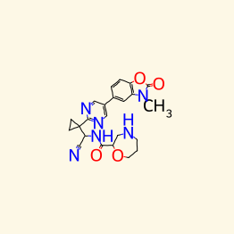 Cn1c(=O)oc2ccc(-c3cnc(C4(C(C#N)NC(=O)C5CNCCCO5)CC4)nc3)cc21